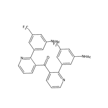 CC(=O)Nc1cc(-c2ncccc2C(=O)c2cccnc2-c2cc(NC(C)=O)cc(C(F)(F)F)c2)cc(C(F)(F)F)c1